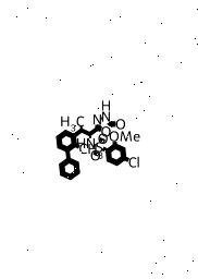 COc1cc(Cl)ccc1S(=O)(=O)N[C@H](c1n[nH]c(=O)o1)[C@H](C)c1cccc(-c2ccccc2)c1C